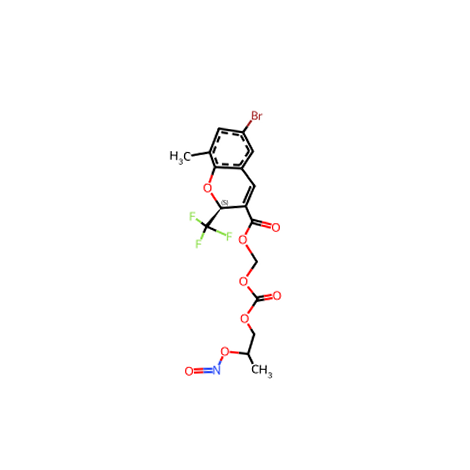 Cc1cc(Br)cc2c1O[C@H](C(F)(F)F)C(C(=O)OCOC(=O)OCC(C)ON=O)=C2